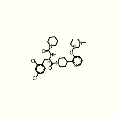 CC[C@@H](CN(C)C)Oc1cccnc1C1CCN(C(=O)[C@@H](Cc2ccc(Cl)cc2Cl)NC(=O)N2CCCCC2)CC1